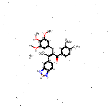 COc1ccc(C(=O)/C(Cc2cc(OC(C)C)c(OC(C)C)c(OC(C)C)c2)=C(/C(=O)[O-])c2ccc3nsnc3c2)cc1OC.[Na+]